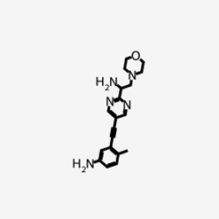 Cc1ccc(N)cc1C#Cc1cnc(C(N)CN2CCOCC2)nc1